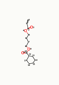 C=CC(=O)OCCCCOC(=O)C1CC[CH]CC1